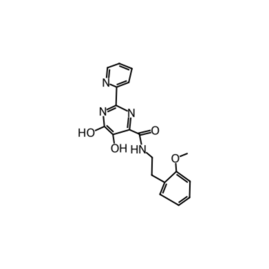 COc1ccccc1CCNC(=O)c1nc(-c2ccccn2)nc(O)c1O